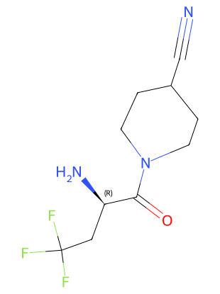 N#CC1CCN(C(=O)[C@H](N)CC(F)(F)F)CC1